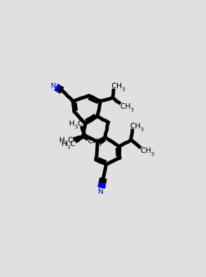 CC(C)c1cc(C#N)cc(C(C)C)c1Cc1c(C(C)C)cc(C#N)cc1C(C)C